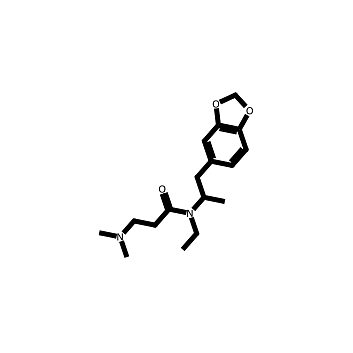 CCN(C(=O)CCN(C)C)C(C)Cc1ccc2c(c1)OCO2